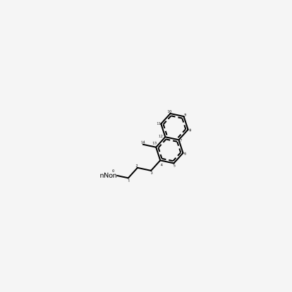 CCCCCCCCCCCCc1ccc2ccccc2c1C